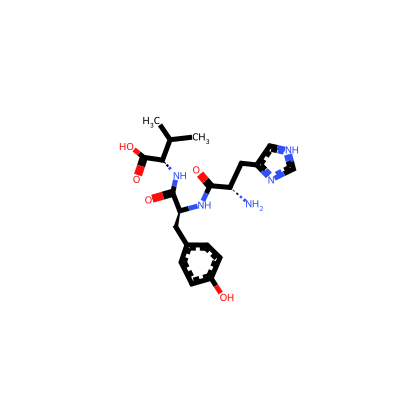 CC(C)[C@H](NC(=O)[C@H](Cc1ccc(O)cc1)NC(=O)[C@@H](N)Cc1c[nH]cn1)C(=O)O